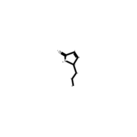 CCCC1C=CC(=O)S1